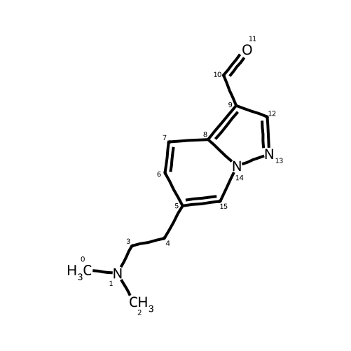 CN(C)CCc1ccc2c(C=O)cnn2c1